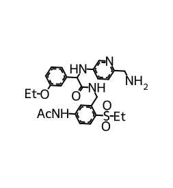 CCOc1cccc(C(Nc2ccc(CN)nc2)C(=O)NCc2cc(NC(C)=O)ccc2S(=O)(=O)CC)c1